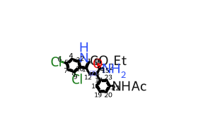 CCOC(=O)c1[nH]c2cc(Cl)cc(Cl)c2c1/C=C(\C(N)=O)c1cccc(NC(C)=O)c1